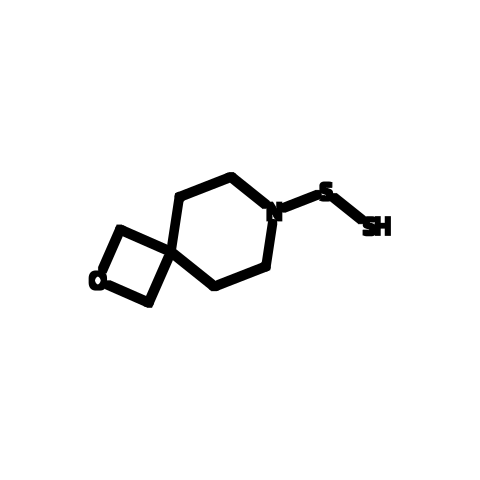 SSN1CCC2(CC1)COC2